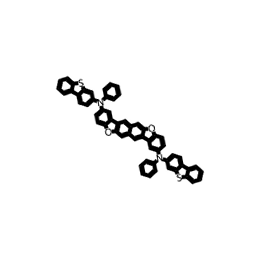 c1ccc(N(c2ccc3c(c2)sc2ccccc23)c2ccc3oc4cc5cc6c(cc5cc4c3c2)oc2ccc(N(c3ccccc3)c3ccc4c(c3)sc3ccccc34)cc26)cc1